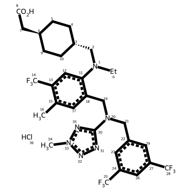 CCN(C[C@H]1CC[C@H](CC(=O)O)CC1)c1cc(C(F)(F)F)c(C)cc1CN(Cc1cc(C(F)(F)F)cc(C(F)(F)F)c1)c1nnn(C)n1.Cl